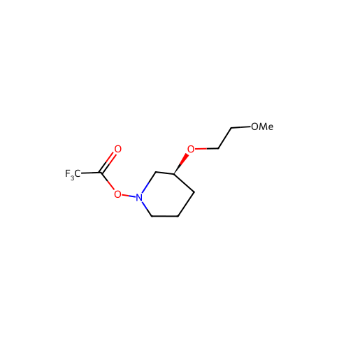 COCCO[C@H]1CCCN(OC(=O)C(F)(F)F)C1